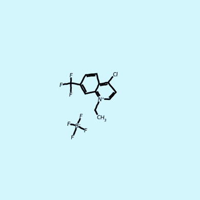 CC[n+]1ccc(Cl)c2ccc(C(F)(F)F)cc21.F[B-](F)(F)F